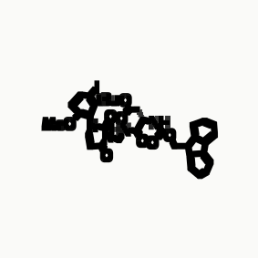 COc1ccc(I)cc1-n1ccc(=O)n(CNC(=O)[C@H](CC(=O)OC(C)(C)C)NC(=O)OCC2c3ccccc3-c3ccccc32)c1=O